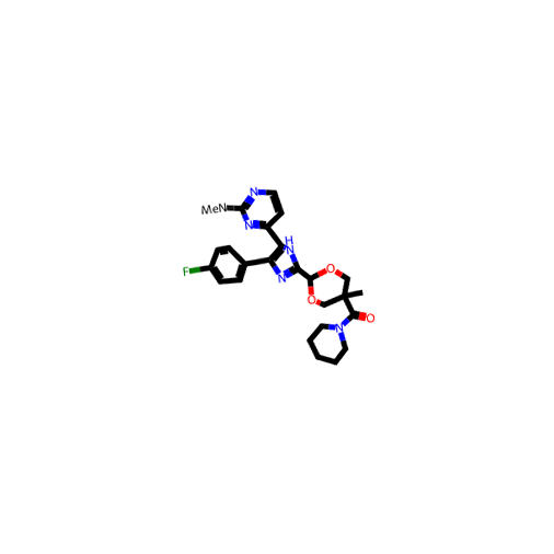 CNc1nccc(-c2[nH]c(C3OCC(C)(C(=O)N4CCCCC4)CO3)nc2-c2ccc(F)cc2)n1